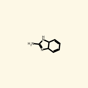 NC1=NC2C=CC=CC2N1